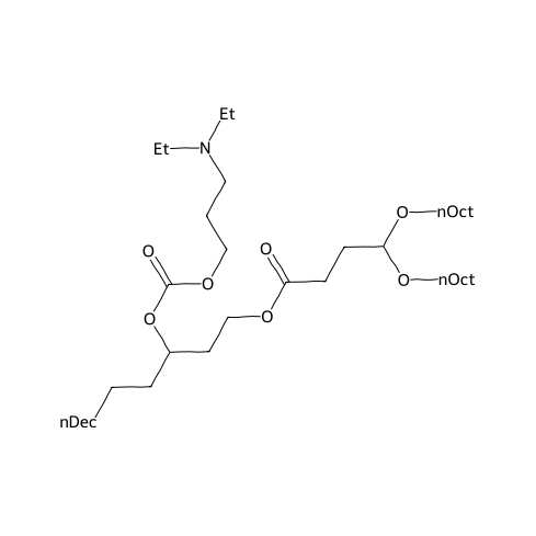 CCCCCCCCCCCCC(CCOC(=O)CCC(OCCCCCCCC)OCCCCCCCC)OC(=O)OCCCN(CC)CC